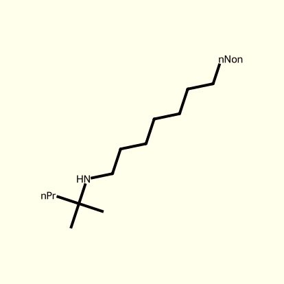 CCCCCCCCCCCCCCCCNC(C)(C)CCC